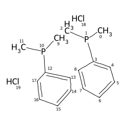 CP(C)c1ccccc1.CP(C)c1ccccc1.Cl.Cl